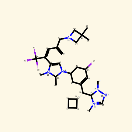 C=C(/C=C(\C1=CN(C2CC([C@@H](C3CCC3)C3N(C)NC=[N+]3C)=CC(I)C2)C(C)N1C)C(I)(I)I)CN1CC(C)(C)C1